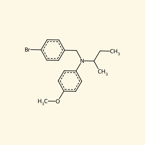 CCC(C)N(Cc1ccc(Br)cc1)c1ccc(OC)cc1